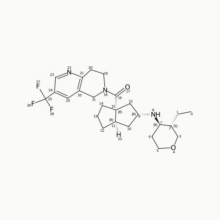 CC[C@@H]1COCC[C@H]1N[C@@H]1C[C@H]2CCC[C@@]2(C(=O)N2CCc3ncc(C(F)(F)F)cc3C2)C1